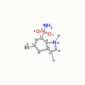 CCc1cc(S(N)(=O)=O)c2c(c1)c(C)cn2C